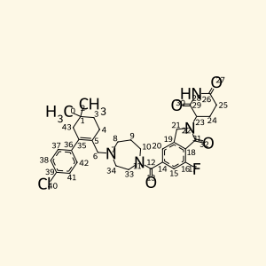 CC1(C)CCC(CN2CCCN(C(=O)c3cc(F)c4c(c3)CN(C3CCC(=O)NC3=O)C4=O)CC2)=C(c2ccc(Cl)cc2)C1